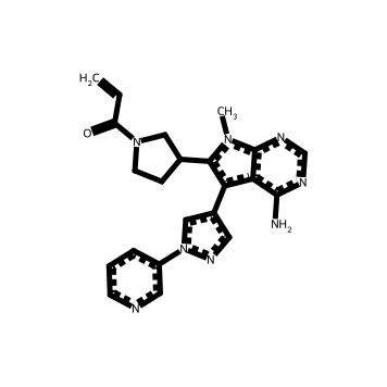 C=CC(=O)N1CCC(c2c(-c3cnn(-c4cccnc4)c3)c3c(N)ncnc3n2C)C1